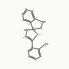 Oc1ccccc1C1=NNC2(CNc3ccccc32)S1